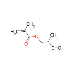 C=C(C)C(=O)OCC(C)C=O